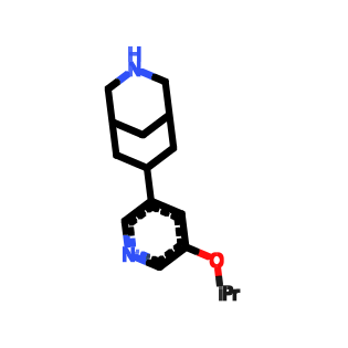 CC(C)Oc1cncc(C2CC3CNCC(C3)C2)c1